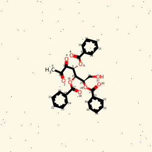 CC(=O)C(=O)[C@H](OC(=O)c1ccccc1)[C@H](OC(=O)c1ccccc1)[C@@H](CO)OC(=O)c1ccccc1